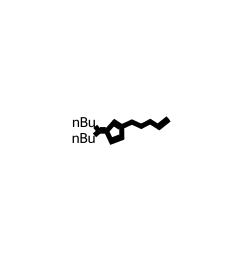 C=CCCCC1=CC(=C(CCCC)CCCC)C=C1